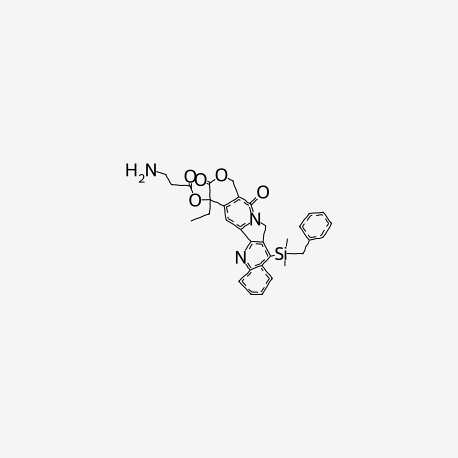 CCC1(OC(=O)CCN)C(=O)OCc2c1cc1n(c2=O)Cc2c-1nc1ccccc1c2[Si](C)(C)Cc1ccccc1